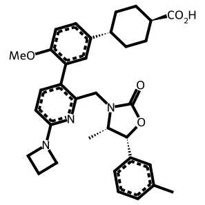 COc1ccc([C@H]2CC[C@H](C(=O)O)CC2)cc1-c1ccc(N2CCC2)nc1CN1C(=O)O[C@H](c2cccc(C)c2)[C@@H]1C